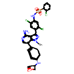 CC(C)n1nc(-c2cc(F)c(NS(=O)(=O)c3ccccc3Cl)cc2F)c2c(N)ncc(C3=CC[C@@H](NC4COC4)CC3)c21